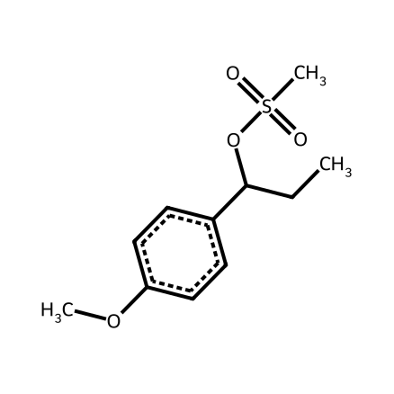 CCC(OS(C)(=O)=O)c1ccc(OC)cc1